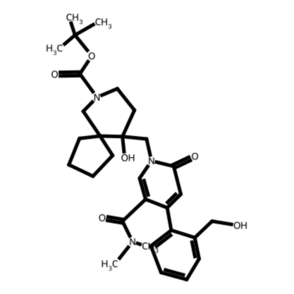 CN(C)C(=O)c1cn(CC2(O)CCN(C(=O)OC(C)(C)C)CC23CCCC3)c(=O)cc1-c1ccccc1CO